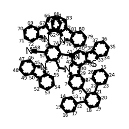 N#Cc1c(Cn2c3ccc(-c4c(-c5ccccc5)cccc4-c4ccccc4)cc3c3c4sc5ccccc5c4ccc32)c(-n2c3ccccc3c3ccccc32)c(C#N)c(-n2c3ccccc3c3ccccc32)c1-n1c2ccccc2c2ccccc21